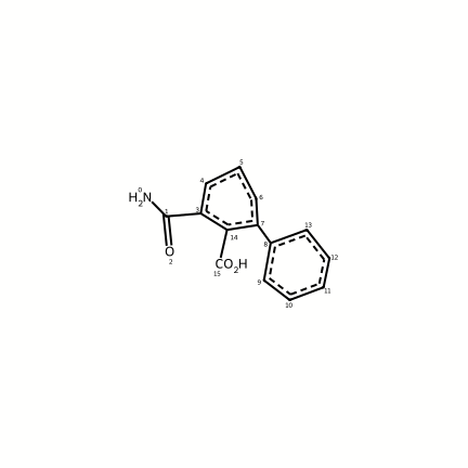 NC(=O)c1cccc(-c2ccccc2)c1C(=O)O